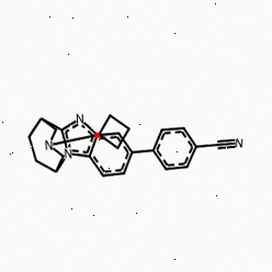 N#Cc1ccc(-c2ccc3c(c2)nc2n3C3CCC2CN(C2CCC2)C3)cc1